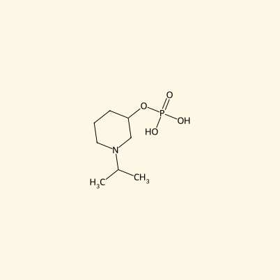 CC(C)N1CCCC(OP(=O)(O)O)C1